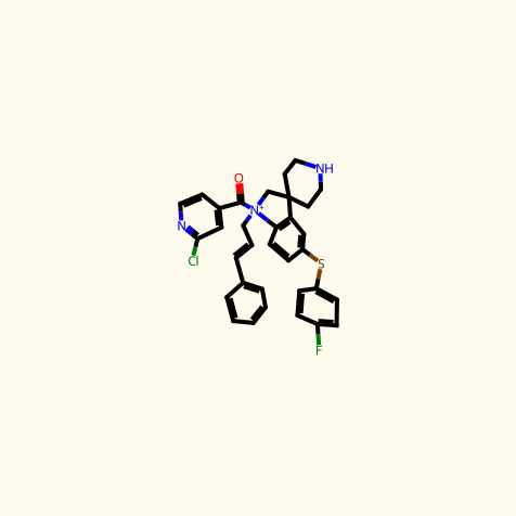 O=C(c1ccnc(Cl)c1)[N+]1(C/C=C/c2ccccc2)CC2(CCNCC2)c2cc(Sc3ccc(F)cc3)ccc21